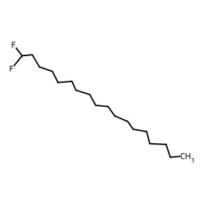 CCCCCCCCCCCCCCCCC[C](F)F